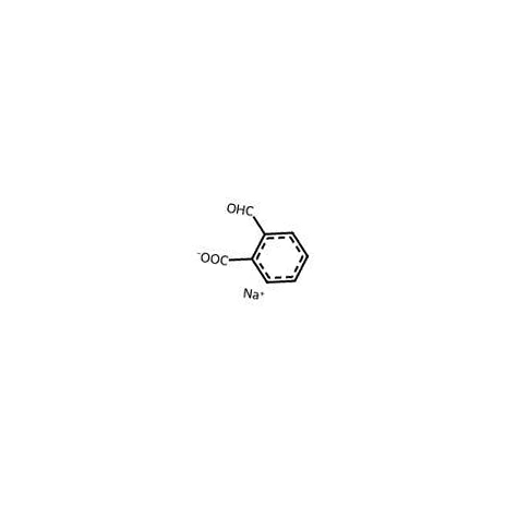 O=Cc1ccccc1C(=O)[O-].[Na+]